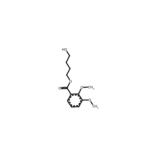 COc1cccc(C(=O)OCCCCO)c1OC